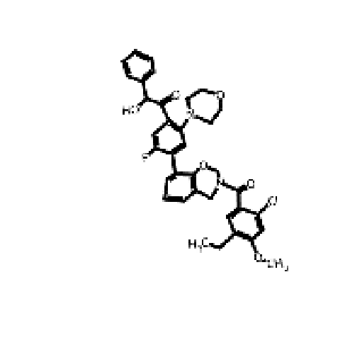 CCc1cc(C(=O)N2COc3c(cccc3-c3cc(N4CCOCC4)c(C(=O)C(O)c4ccccc4)cc3F)C2)c(Cl)cc1OC